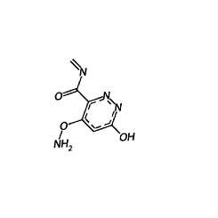 C=NC(=O)c1nnc(O)cc1ON